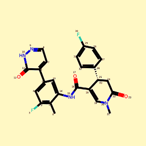 Cc1c(F)cc(-c2ccn[nH]c2=O)cc1NC(=O)C1=CN(C)C(=O)C[C@H]1c1ccc(F)cc1